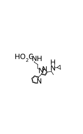 CC(NC1CC1)c1cc(-c2ccccn2)n(CCCNC(=O)O)n1